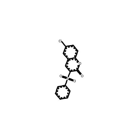 O=c1oc2ccc(Cl)cc2cc1S(=O)(=O)c1ccccc1